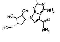 Cc1nc(N)c2c(C(N)=O)cn([C@@H]3C[C@H](CO)[C@@H](O)[C@H]3O)c2n1